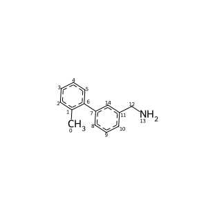 Cc1ccccc1-c1cccc(CN)c1